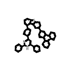 C1=C(c2ccccc2)NC(c2ccccc2)N=C1c1ccc(-c2cccc3sc4ccc(-c5ccc6c7ccccc7c7ccccc7c6c5)cc4c23)cc1